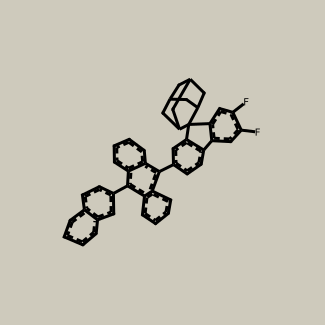 Fc1cc2c(cc1F)C1(c3cc(-c4c5ccccc5c(-c5ccc6ccccc6c5)c5ccccc45)ccc3-2)C2CC3CC(C2)CC1C3